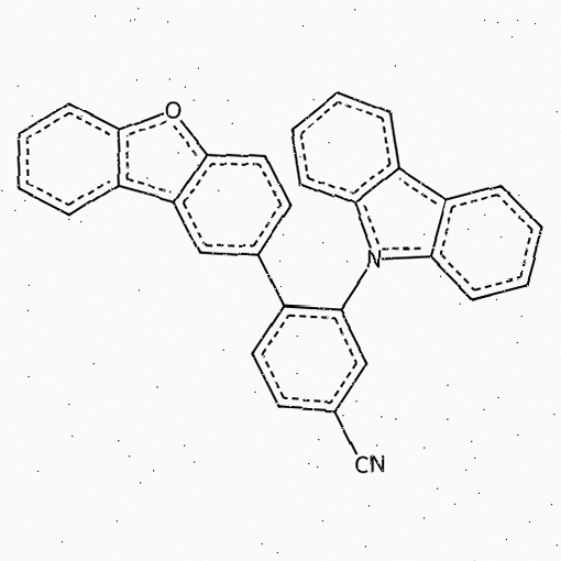 N#Cc1ccc(-c2ccc3oc4ccccc4c3c2)c(-n2c3ccccc3c3ccccc32)c1